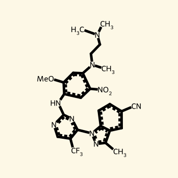 COc1cc(N(C)CCN(C)C)c([N+](=O)[O-])cc1Nc1ncc(C(F)(F)F)c(-n2nc(C)c3cc(C#N)ccc32)n1